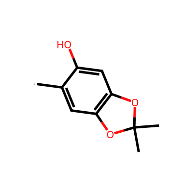 [CH2]c1cc2c(cc1O)OC(C)(C)O2